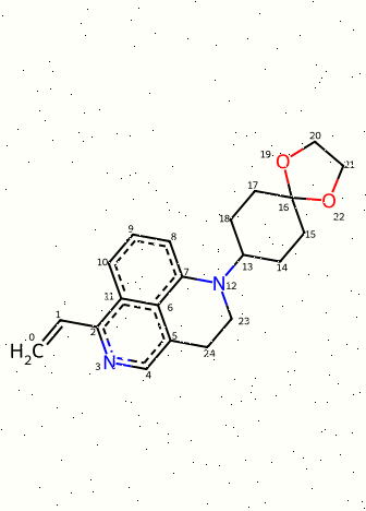 C=Cc1ncc2c3c(cccc13)N(C1CCC3(CC1)OCCO3)CC2